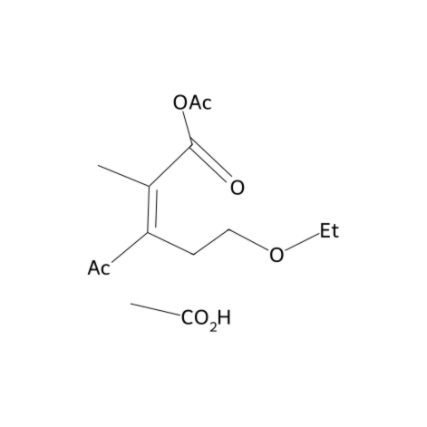 CC(=O)O.CCOCCC(C(C)=O)=C(C)C(=O)OC(C)=O